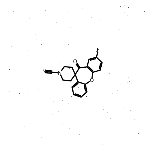 N#CN1CCC2(CC1)C(=O)c1cc(F)ccc1Oc1ccccc12